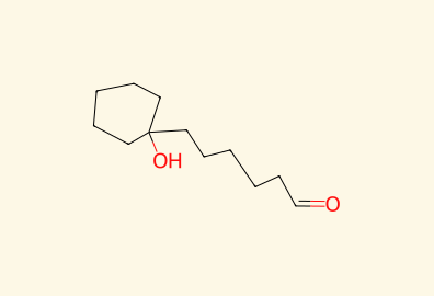 O=CCCCCCC1(O)CCCCC1